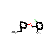 CCOC(=O)Cc1cccc(OCc2c(C)cccc2Cl)c1